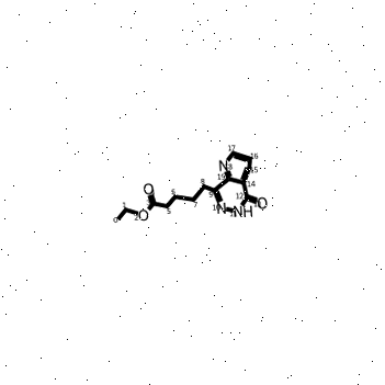 CCOC(=O)CCCCc1n[nH]c(=O)c2cccnc12